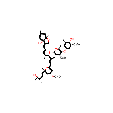 CO[C@H]1C[C@H](O[C@H]2[C@H](C)O[C@@H](O[C@H](/C(C)=C/CC3=C[C@H](OC=O)C[C@](C)(CC[C@H](C)[C@@H](C)O)O3)[C@@H](C)/C=C/C=C3\CO[C@@H]4CC(C)=CC[C@]34O)C[C@@H]2OC)C[C@@H](C)[C@@H]1O